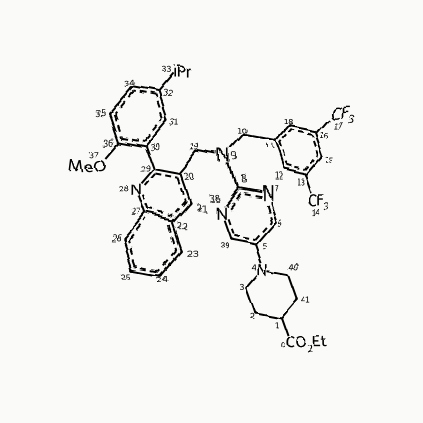 CCOC(=O)C1CCN(c2cnc(N(Cc3cc(C(F)(F)F)cc(C(F)(F)F)c3)Cc3cc4ccccc4nc3-c3cc(C(C)C)ccc3OC)nc2)CC1